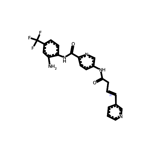 Nc1cc(C(F)(F)F)ccc1NC(=O)c1ccc(NC(=O)C/C=C/c2cccnc2)cn1